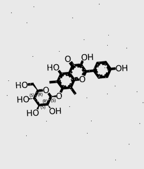 Cc1c(O[C@@H]2O[C@H](CO)[C@@H](O)[C@H](O)[C@H]2O)c(C)c2oc(-c3ccc(O)cc3)c(O)c(=O)c2c1O